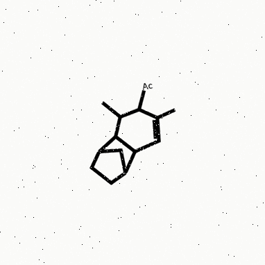 CC(=O)C1C(C)=CC2C3CCC(C3)C2C1C